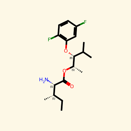 CC[C@H](C)[C@H](N)C(=O)O[C@@H](C)[C@H](Oc1cc(F)ccc1F)C(C)C